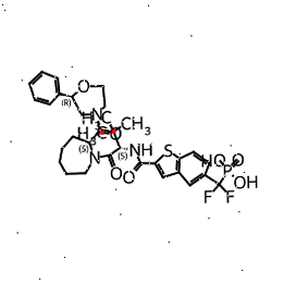 CC(C)(C)[C@H](NC(=O)c1cc2cc(C(F)(F)P(=O)(O)O)ccc2s1)C(=O)N1CCCCC[C@H]1C(=O)N1CCO[C@H](c2ccccc2)C1